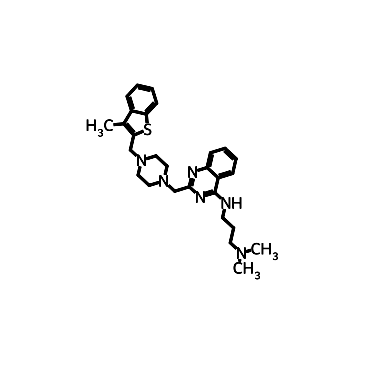 Cc1c(CN2CCN(Cc3nc(NCCCN(C)C)c4ccccc4n3)CC2)sc2ccccc12